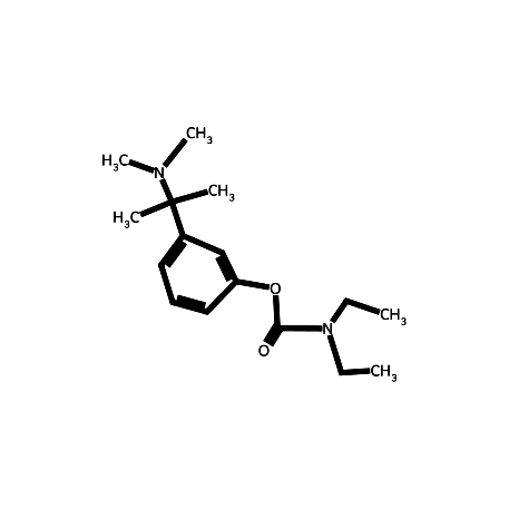 CCN(CC)C(=O)Oc1cccc(C(C)(C)N(C)C)c1